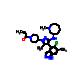 C=CC(=O)N1CCC(n2nc(N[C@@H]3CCCCCN(C)C3)c(-c3c(Cl)c(C)cc4[nH]ncc34)c2C)CC1